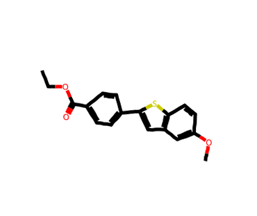 CCOC(=O)c1ccc(-c2cc3cc(OC)ccc3s2)cc1